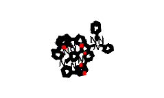 N#Cc1c(-n2c3ccccc3c3ccccc32)c(-n2c3ccccc3c3ccccc32)c(-c2ccc(-c3nc(-c4ccccc4)nc(-c4ccccc4)n3)cc2)c(-n2c3ccccc3c3ccccc32)c1-n1c2ccccc2c2ccccc21